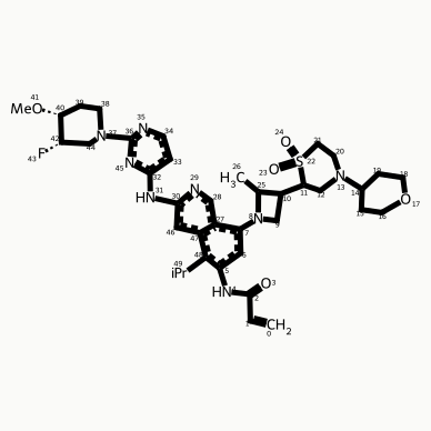 C=CC(=O)Nc1cc(N2CC(C3CN(C4CCOCC4)CCS3(=O)=O)C2C)c2cnc(Nc3ccnc(N4CC[C@@H](OC)[C@@H](F)C4)n3)cc2c1C(C)C